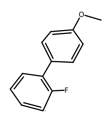 COc1ccc(-c2ccc[c]c2F)cc1